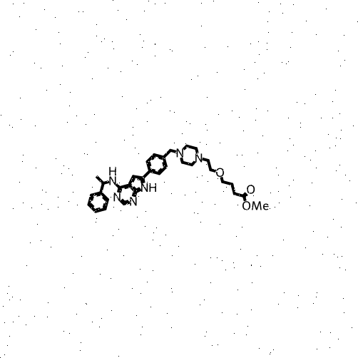 COC(=O)CCCOCCN1CCN(Cc2ccc(-c3cc4c(NC(C)c5ccccc5)ncnc4[nH]3)cc2)CC1